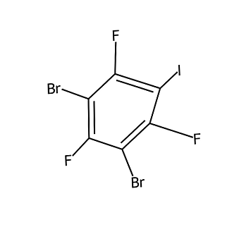 Fc1c(Br)c(F)c(I)c(F)c1Br